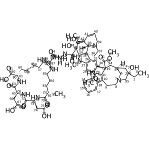 CC[C@]1(O)C[C@H]2CN(CCc3c([nH]c4ccccc34)[C@@](C(=O)OC)(c3cc4c(cc3OC)N(C)[C@@H]3[C@]45CCN4CC=C[C@@](CC)(C(O)[C@]3(O)C(=O)NNC(=O)OCCSSC[C@H](NC(=O)[C@H](CC(=O)O)NC(=O)[C@H](CC(=O)O)NC(=O)[C@@H](C)CCCNC(=N)N)C(=O)O)[C@H]45)C2)C1